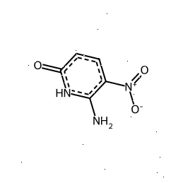 Nc1[nH]c(=O)ccc1[N+](=O)[O-]